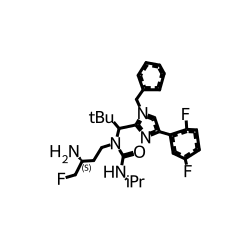 CC(C)NC(=O)N(CC[C@H](N)CF)C(c1nc(-c2cc(F)ccc2F)cn1Cc1ccccc1)C(C)(C)C